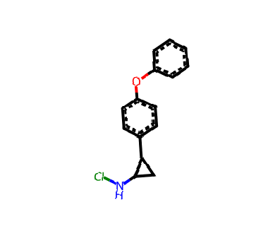 ClNC1CC1c1ccc(Oc2ccccc2)cc1